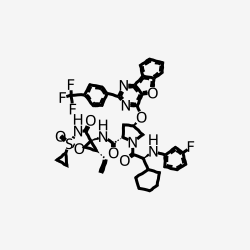 C=C[C@@H]1C[C@]1(NC(=O)[C@@H]1C[C@@H](Oc2nc(-c3ccc(C(F)(F)F)cc3)nc3c2oc2ccccc23)CN1C(=O)[C@@H](Nc1cccc(F)c1)C1CCCCC1)C(=O)NS(=O)(=O)C1CC1